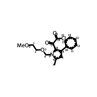 COCCOCn1c(C)cc(-c2ccccc2)c1C(=O)C(=O)Cl